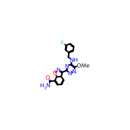 COc1nnc(C2=NOC3C(C(N)=O)=CC=CC23)nc1NCc1cccc(F)c1